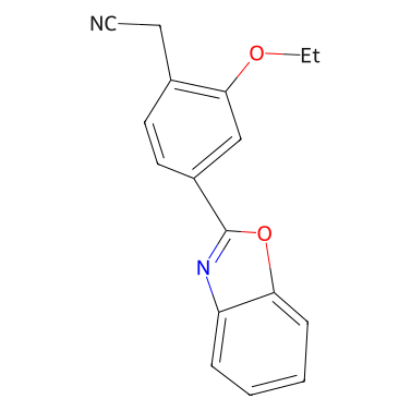 CCOc1cc(-c2nc3ccccc3o2)ccc1CC#N